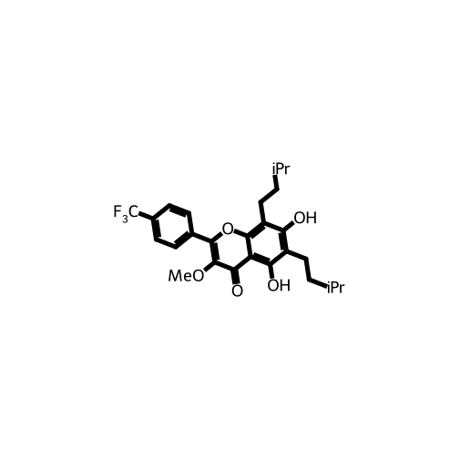 COc1c(-c2ccc(C(F)(F)F)cc2)oc2c(CCC(C)C)c(O)c(CCC(C)C)c(O)c2c1=O